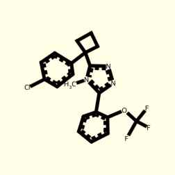 Cn1c(-c2ccccc2OC(F)(F)F)nnc1C1(c2ccc(Cl)cc2)CCC1